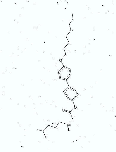 CCCCCCCCOc1ccc(-c2ccc(OC(=O)C[C@@H](C)CCCC(C)C)cc2)cc1